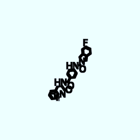 NC(=O)[C@@H](Cc1ccccc1)NC(=O)c1ccc(NC(=O)N2C=C3CC=C(F)C=C3C2)cc1